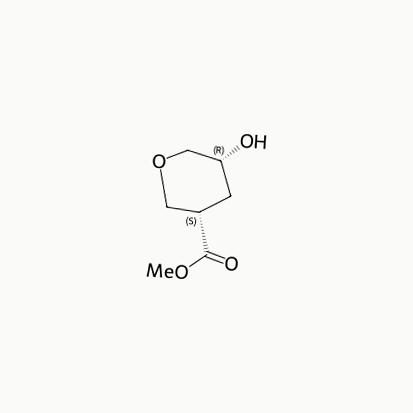 COC(=O)[C@@H]1COC[C@H](O)C1